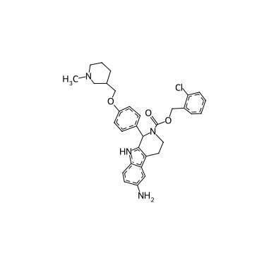 CN1CCCC(COc2ccc(C3c4[nH]c5ccc(N)cc5c4CCN3C(=O)OCc3ccccc3Cl)cc2)C1